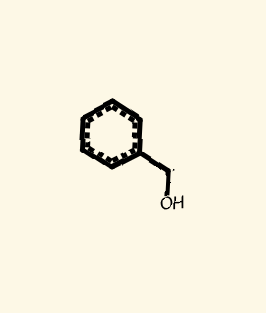 O[CH]c1ccccc1